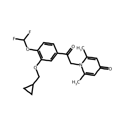 Cc1cc(=O)cc(C)n1CC(=O)c1ccc(OC(F)F)c(OCC2CC2)c1